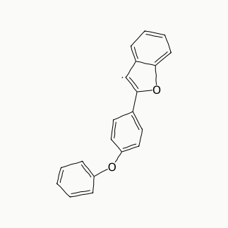 [c]1c(-c2ccc(Oc3ccccc3)cc2)oc2ccccc12